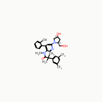 CN(C(=O)C(C)(C)c1cc(C(F)(F)F)cc(C(F)(F)F)c1)c1cnc(N2C[C@@H](O)C[C@H]2CO)cc1-c1ccccc1C#N